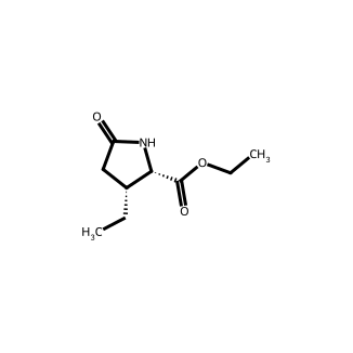 CCOC(=O)[C@H]1NC(=O)C[C@H]1CC